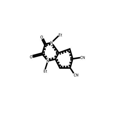 CCn1c(=O)c(=O)n(CC)c2cc(C#N)c(C#N)cc21